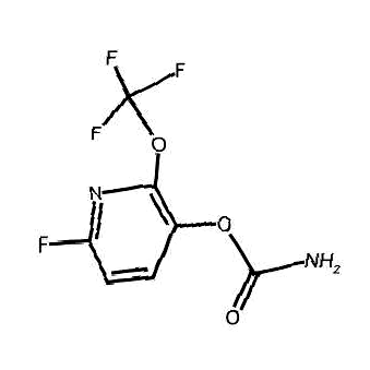 NC(=O)Oc1ccc(F)nc1OC(F)(F)F